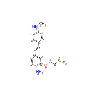 CNc1ccc(/C=C/c2ccc(N)c(OCCSF)c2)cc1